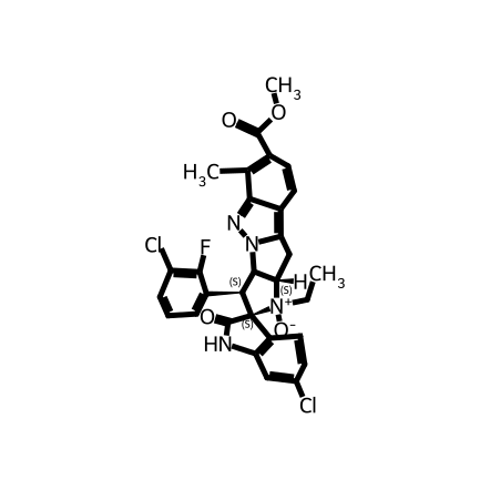 CC[N+]1([O-])[C@H]2Cc3c4ccc(C(=O)OC)c(C)c4nn3C2[C@H](c2cccc(Cl)c2F)[C@]12C(=O)Nc1cc(Cl)ccc12